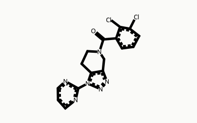 O=C(c1cccc(Cl)c1Cl)N1CCc2c(nnn2-c2ncccn2)C1